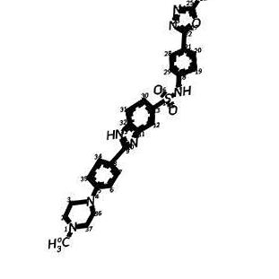 CN1CCN(c2ccc(-c3nc4cc(S(=O)(=O)Nc5ccc(-c6nnc(C(C)(C)C)o6)cc5)ccc4[nH]3)cc2)CC1